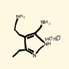 Cc1n[nH]c(N)c1CN.Cl.Cl